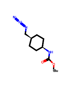 CC(C)(C)OC(=O)N[C@H]1CC[C@@H](CN=[N+]=[N-])CC1